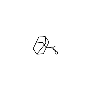 O=[S+]C12CC3CC(CC(C3)C1)C2